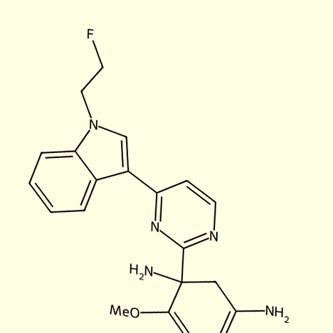 COC1=CC=C(N)CC1(N)c1nccc(-c2cn(CCF)c3ccccc23)n1